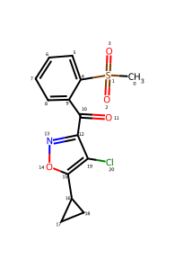 CS(=O)(=O)c1ccccc1C(=O)c1noc(C2CC2)c1Cl